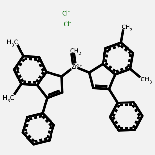 [CH2]=[Zr+2]([CH]1C=C(c2ccccc2)c2c(C)cc(C)cc21)[CH]1C=C(c2ccccc2)c2c(C)cc(C)cc21.[Cl-].[Cl-]